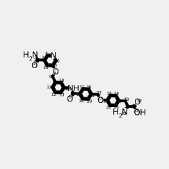 NC(=O)c1cncc(OCc2cccc(NC(=O)c3ccc(COc4ccc(CC(N)C(=O)O)cc4)cc3)c2)c1